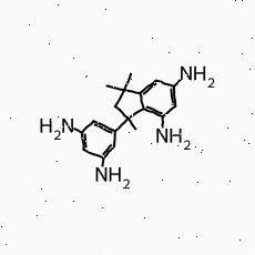 CC1(C)CC(C)(c2cc(N)cc(N)c2)c2c(N)cc(N)cc21